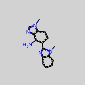 Cn1cnc2c(N)c(-c3nc4ccccc4n3C)ccc21